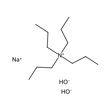 CCC[N+](CCC)(CCC)CCC.[Na+].[OH-].[OH-]